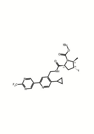 C[C@H]1[C@H](I)C[C@@H](C(=O)NCc2cc(-c3cnc(C(F)(F)F)nc3)ncc2C2CC2)N1C(=O)OC(C)(C)C